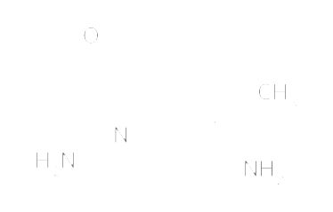 CC1(N)CC(=O)N(N)C1